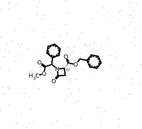 COC(=O)C(c1ccccc1)N1C(=O)C[C@H]1C(=O)OCc1ccccc1